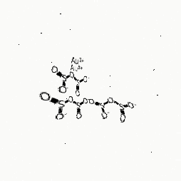 O=S([O-])OS(=O)[O-].O=S([O-])OS(=O)[O-].O=S([O-])OS(=O)[O-].[Au+3].[Au+3]